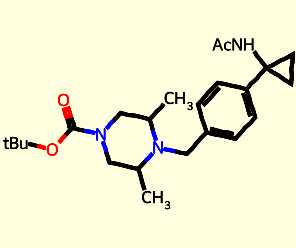 CC(=O)NC1(c2ccc(CN3C(C)CN(C(=O)OC(C)(C)C)CC3C)cc2)CC1